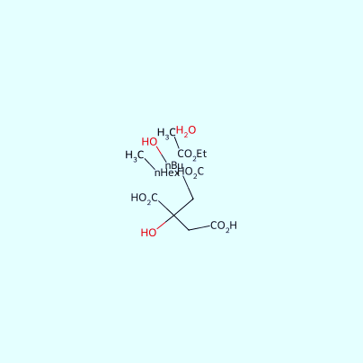 CCCCCCC.CCCCO.CCOC(C)=O.O.O=C(O)CC(O)(CC(=O)O)C(=O)O